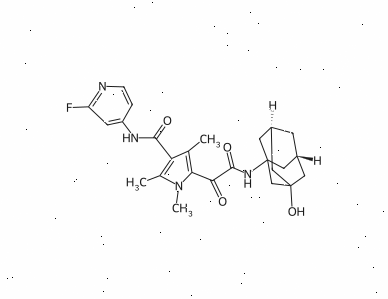 Cc1c(C(=O)Nc2ccnc(F)c2)c(C)n(C)c1C(=O)C(=O)NC12C[C@@H]3C[C@@H](CC(O)(C3)C1)C2